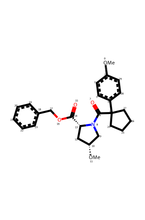 COc1ccc(C2(C(=O)N3C[C@H](OC)C[C@@H]3C(=O)OCc3ccccc3)CCCC2)cc1